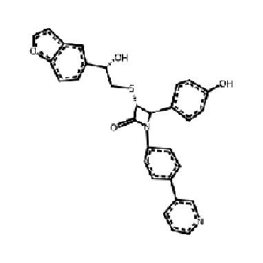 O=C1[C@H](SC[C@@H](O)c2ccc3occc3c2)[C@@H](c2ccc(O)cc2)N1c1ccc(-c2cccnc2)cc1